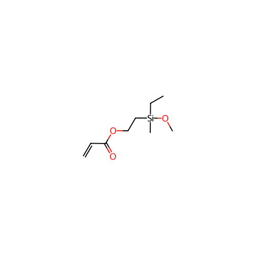 C=CC(=O)OCC[Si](C)(CC)OC